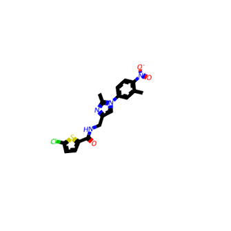 Cc1cc(-n2cc(CNC(=O)c3ccc(Cl)s3)nc2C)ccc1[N+](=O)[O-]